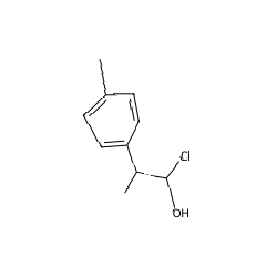 Cc1ccc(C(C)C(O)Cl)cc1